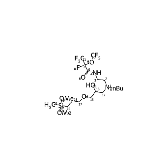 CCCCN(CCNC(=O)C(F)(OC(F)(F)F)C(F)(F)F)CC(O)COCCC[Si](C)(OC)OC